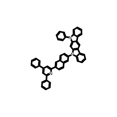 c1ccc(-c2cc(-c3ccccc3)nc(-c3ccc4cc(-n5c6ccccc6c6cc7c8ccccc8n(-c8ccccc8)c7cc65)ccc4c3)c2)cc1